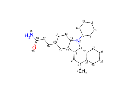 CC(C[C@@H]1CN(C2CCCCC2)C2CCC(CCC(N)=O)CC21)C1CCCCC1